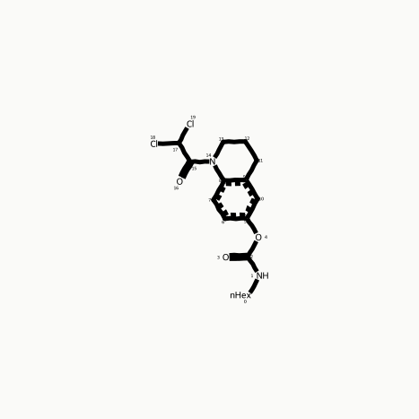 CCCCCCNC(=O)Oc1ccc2c(c1)CCCN2C(=O)C(Cl)Cl